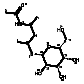 CC(=O)NC(C)CC(C)S[C@@H]1O[C@H](CO)[C@H](O)[C@H](O)[C@H]1O